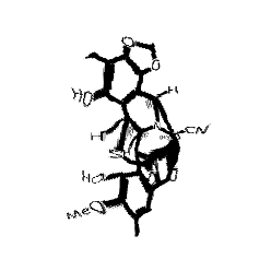 COc1c(C)cc2c(c1O)C1[C@@H]3[C@@H]4SCC(=O)C(=O)OC[C@@H](c5c6c(c(C)c(O)c54)OCO6)N3[C@@H](C#N)C(C2)N1C